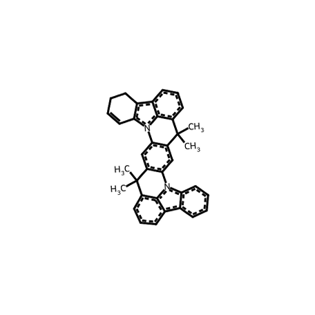 CC1(C)c2cc3c(cc2-n2c4c(c5cccc1c52)CCC=C4)C(C)(C)c1cccc2c4ccccc4n-3c12